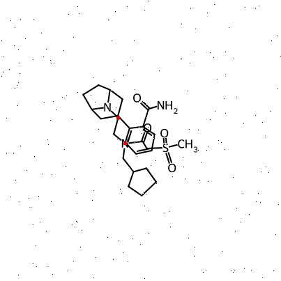 CS(=O)(=O)CC(=O)N(CCN1C2CCC1CC(c1ccccc1C(N)=O)C2)CC1CCCC1